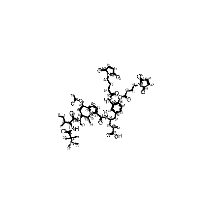 CCC(C)C(NC(=O)C(C)(C)N(C)C)C(=O)N(C)C(CC(OC(C)=O)c1nc(C(=O)NC(Cc2ccc(OC(=O)CCCN3C(=O)C=CC3=O)c(NC(=O)CCCN3C(=O)C=CC3=O)c2)CC(C)C(=O)O)cs1)C(C)C